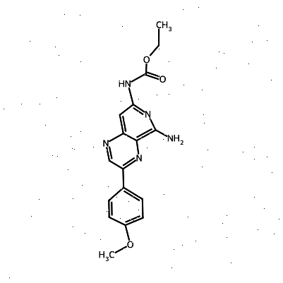 CCOC(=O)Nc1cc2ncc(-c3ccc(OC)cc3)nc2c(N)n1